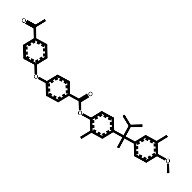 COc1ccc(C(C)(c2ccc(OC(=O)c3ccc(Oc4ccc(C(C)=O)cc4)cc3)c(C)c2)C(C)C)cc1C